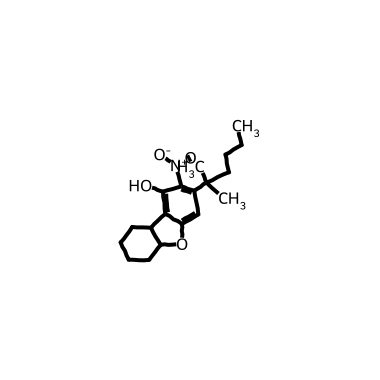 CCCCC(C)(C)c1cc2c(c(O)c1[N+](=O)[O-])C1CCCCC1O2